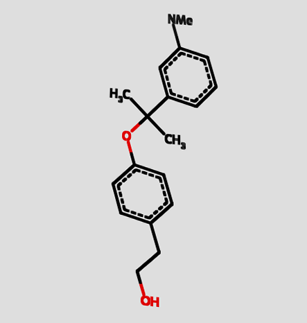 CNc1cccc(C(C)(C)Oc2ccc(CCO)cc2)c1